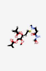 COC(COC(=O)C(C)C)[C@H](CCSN(C)/C=C\C(=O)NC=O)OC(=O)C(C)C